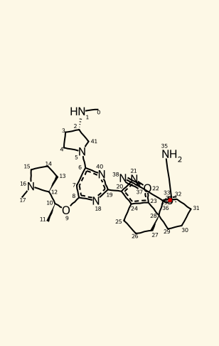 CN[C@H]1CCN(c2cc(O[C@@H](C)[C@@H]3CCCN3C)nc(-c3noc4c3CCC[C@@]43CCCc4sc(N)c(C#N)c43)n2)C1